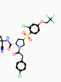 N#CC1(NC(=O)[C@@H]2C[C@@H](S(=O)(=O)c3ccc(OCC(F)(F)F)cc3Cl)CN2C(=O)Cc2ccc(Cl)cc2)CC1